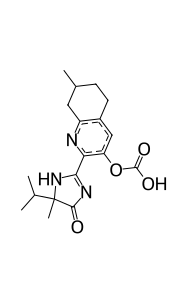 CC1CCc2cc(OC(=O)O)c(C3=NC(=O)C(C)(C(C)C)N3)nc2C1